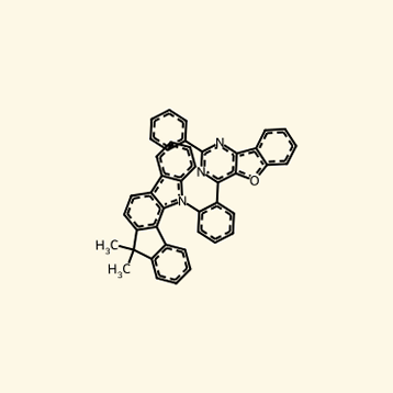 CC1(C)c2ccccc2-c2c1ccc1c3ccccc3n(-c3ccccc3-c3nc(-c4ccccc4)nc4c3oc3ccccc34)c21